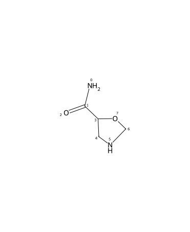 NC(=O)C1CNCO1